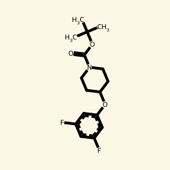 CC(C)(C)OC(=O)N1CCC(Oc2cc(F)cc(F)c2)CC1